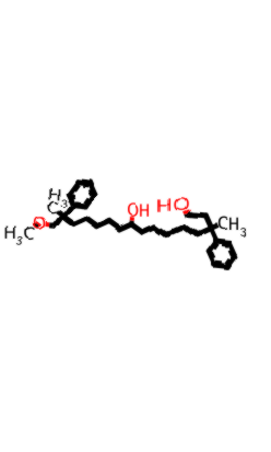 COCC(C)(CCCCCC(O)CCCCCC(C)(CCO)c1ccccc1)c1ccccc1